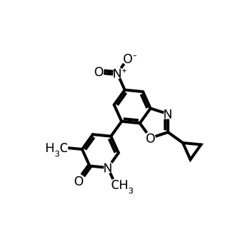 Cc1cc(-c2cc([N+](=O)[O-])cc3nc(C4CC4)oc23)cn(C)c1=O